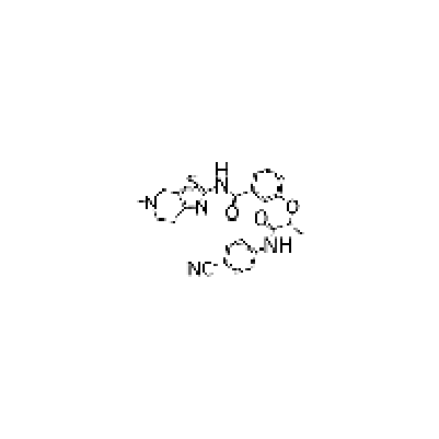 C[C@H](Oc1cccc(C(=O)Nc2nc3c(s2)CN(C)CC3)c1)C(=O)Nc1ccc(C#N)cc1